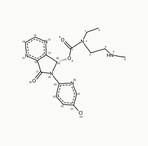 CCN(CCNC)C(=O)O[C@H]1c2nccnc2C(=O)N1c1ccc(Cl)cn1